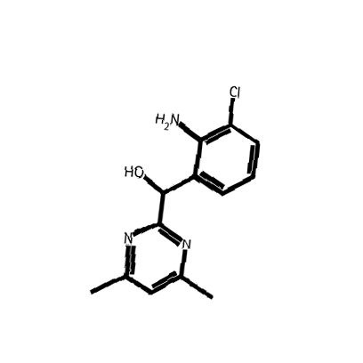 Cc1cc(C)nc(C(O)c2cccc(Cl)c2N)n1